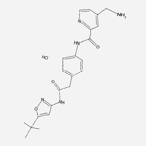 CC(C)(C)c1cc(NC(=O)Cc2ccc(NC(=O)c3cc(CN)ccn3)cc2)no1.Cl